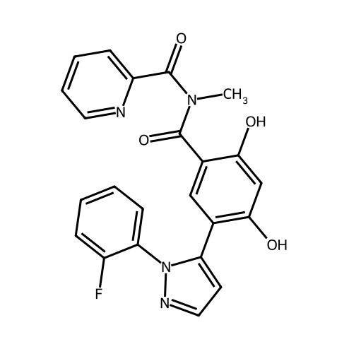 CN(C(=O)c1ccccn1)C(=O)c1cc(-c2ccnn2-c2ccccc2F)c(O)cc1O